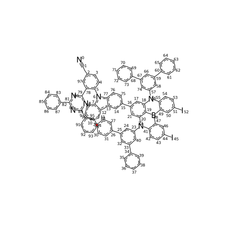 N#Cc1ccc(-n2c3ccccc3c3cc(-c4cc5c6c(c4)N(c4cc(-c7ccccc7)cc(-c7ccccc7)c4)c4ccc(I)cc4B6c4cc(I)ccc4N5c4cc(-c5ccccc5)cc(-c5ccccc5)c4)ccc32)c(-c2nc(-c3ccccc3)nc(-c3ccccc3)n2)c1